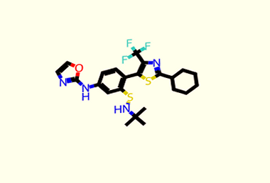 CC(C)(C)NSc1cc(Nc2ncco2)ccc1-c1sc(C2CCCCC2)nc1C(F)(F)F